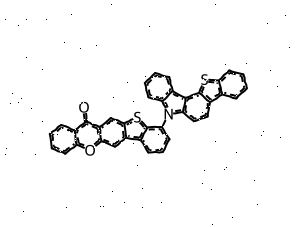 O=c1c2ccccc2oc2cc3c(cc12)sc1c(-n2c4ccccc4c4c5sc6ccccc6c5ccc42)cccc13